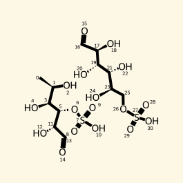 C[C@@H](O)[C@H](O)[C@H](OS(=O)(=O)O)[C@@H](O)C=O.O=C[C@@H](O)[C@@H](O)[C@H](O)[C@H](O)COS(=O)(=O)O